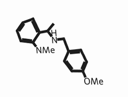 CNc1ccccc1C(C)NCc1ccc(OC)cc1